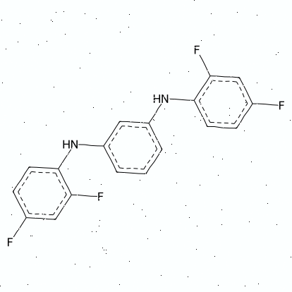 Fc1ccc(Nc2cccc(Nc3ccc(F)cc3F)c2)c(F)c1